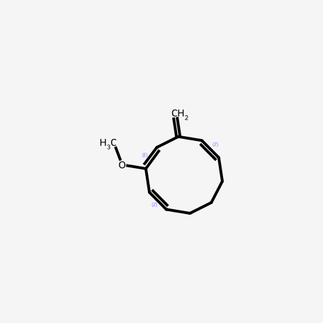 C=C1/C=C\CCC/C=C\C(OC)=C/1